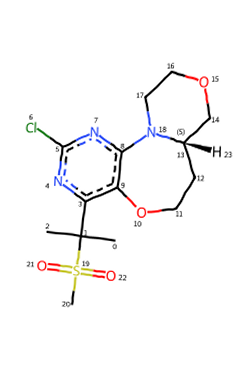 CC(C)(c1nc(Cl)nc2c1OCC[C@H]1COCCN21)S(C)(=O)=O